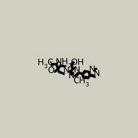 Cc1nc(N2CCC3(CC2)CO[C@@H](C)[C@H]3N)c(CO)nc1-c1ccc2cncnc2c1